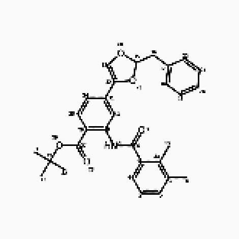 Cc1cccc(C(=O)Nc2cc(C3=COC(Cc4ccccc4)O3)ccc2C(=O)OC(C)(C)C)c1C